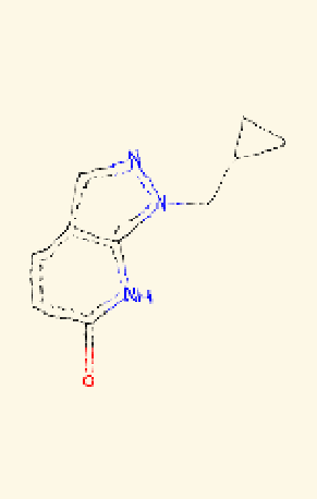 O=c1ccc2cnn(CC3CC3)c2[nH]1